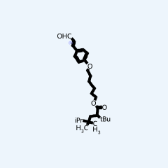 CC(C)C(C)(C)CC(C(=O)OCCCCCCOc1ccc(/C=C/C=O)cc1)C(C)(C)C